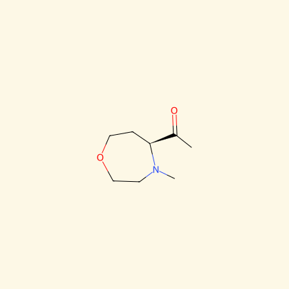 CC(=O)[C@@H]1CCOCCN1C